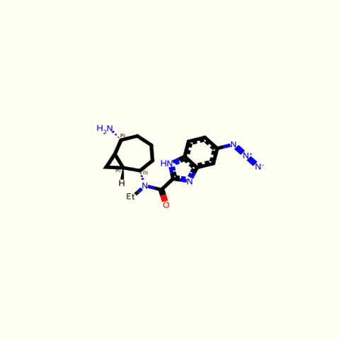 CCN(C(=O)c1nc2cc(N=[N+]=[N-])ccc2[nH]1)[C@H]1CCC[C@@H](N)C2C[C@H]21